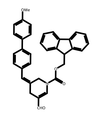 COc1ccc(-c2ccc(C=C3CC(C=O)=CN(C(=O)OCC4c5ccccc5-c5ccccc54)C3)cc2)cc1